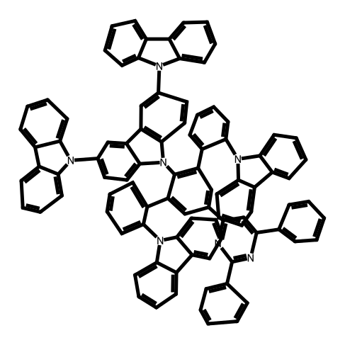 c1ccc(-c2cc(-c3cc(-c4ccccc4-n4c5ccccc5c5ccccc54)c(-n4c5ccc(-n6c7ccccc7c7ccccc76)cc5c5cc(-n6c7ccccc7c7ccccc76)ccc54)c(-c4ccccc4-n4c5ccccc5c5ccccc54)c3)nc(-c3ccccc3)n2)cc1